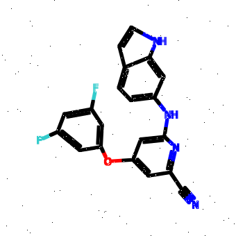 N#Cc1cc(Oc2cc(F)cc(F)c2)cc(Nc2ccc3cc[nH]c3c2)n1